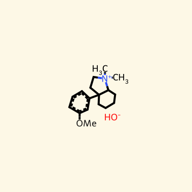 COc1cccc(C23CCCCC2[N+](C)(C)CC3)c1.[OH-]